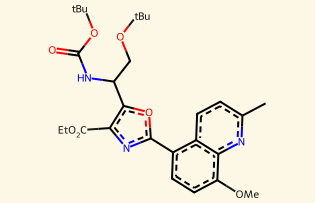 CCOC(=O)c1nc(-c2ccc(OC)c3nc(C)ccc23)oc1C(COC(C)(C)C)NC(=O)OC(C)(C)C